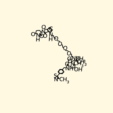 Cc1ncsc1-c1ccc(CNC(=O)[C@@H]2C[C@@H](O)CN2C(=O)[C@@H](NC(=O)COCCOCCOCCOCCNc2cccc3c2C(=O)N(C2CCC(=O)NC2=O)C3=O)C(C)(C)C)cc1